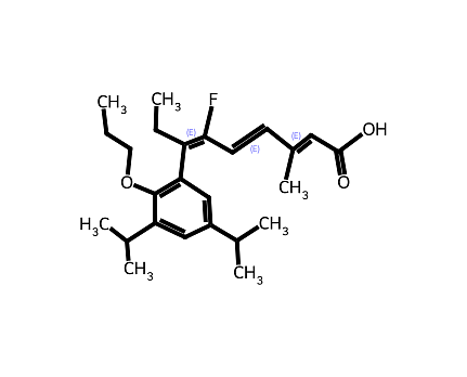 CCCOc1c(\C(CC)=C(F)/C=C/C(C)=C/C(=O)O)cc(C(C)C)cc1C(C)C